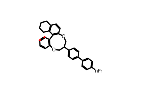 CCCc1ccc(-c2ccc(C3COc4ccc5c(c4-c4c(ccc6c4CCCC6)OC3)CCCC5)cc2)cc1